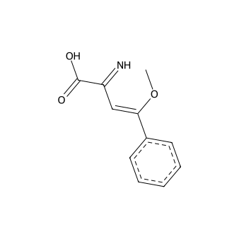 CO/C(=C\C(=N)C(=O)O)c1ccccc1